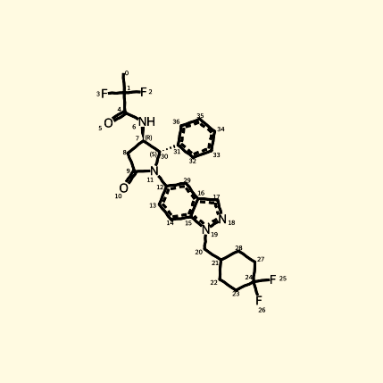 CC(F)(F)C(=O)N[C@@H]1CC(=O)N(c2ccc3c(cnn3CC3CCC(F)(F)CC3)c2)[C@H]1c1ccccc1